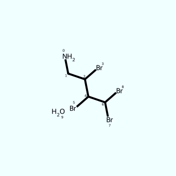 NCC(Br)C(Br)C(Br)Br.O